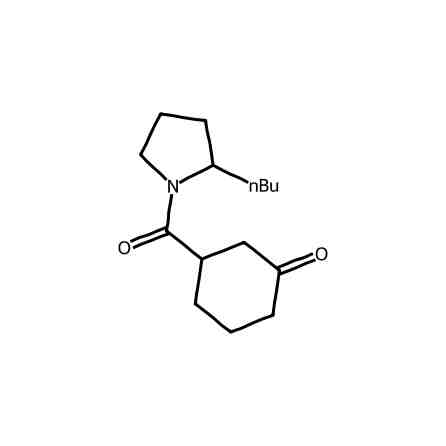 CCCCC1CCCN1C(=O)C1CCCC(=O)C1